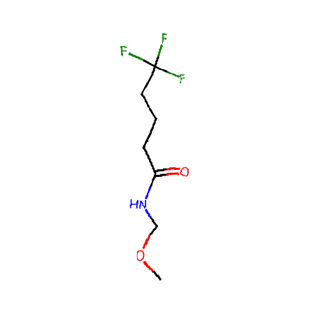 COCNC(=O)CCCC(F)(F)F